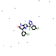 Cn1cncc1[C@@](F)(c1ccc(Cl)cc1)c1ccc2c(n1)c(-c1cccc(Cl)c1)cc(=O)n2C